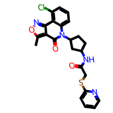 Cc1onc2c1c(=O)n(C1CCC(NC(=O)CSc3ccccn3)C1)c1cccc(Cl)c21